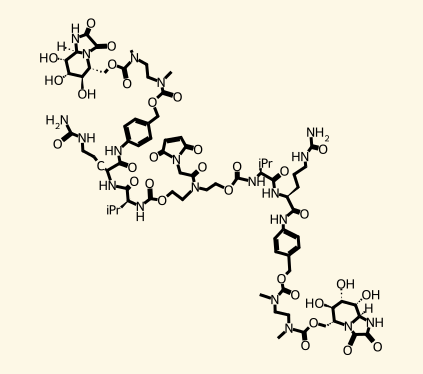 CC(C)[C@H](NC(=O)OCCN(CCOC(=O)N[C@H](C(=O)N[C@@H](CCCNC(N)=O)C(=O)Nc1ccc(COC(=O)N(C)CCN(C)C(=O)OC[C@@H]2[C@@H](O)[C@H](O)[C@H](O)[C@H]3NC(=O)C(=O)N23)cc1)C(C)C)C(=O)CN1C(=O)C=CC1=O)C(=O)N[C@@H](CCCNC(N)=O)C(=O)Nc1ccc(COC(=O)N(C)CCN(C)C(=O)OC[C@@H]2[C@@H](O)[C@H](O)[C@H](O)[C@H]3NC(=O)C(=O)N23)cc1